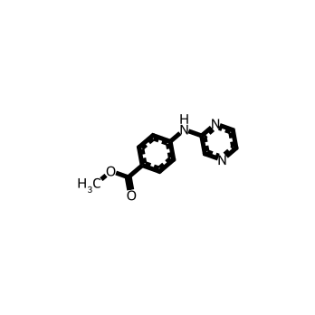 COC(=O)c1ccc(Nc2cnccn2)cc1